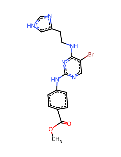 COC(=O)c1ccc(Nc2ncc(Br)c(NCCc3c[nH]cn3)n2)cc1